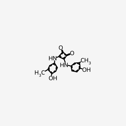 Cc1cc(Nc2c(Nc3ccc(O)c(C)c3)c(=O)c2=O)ccc1O